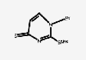 CSc1nc(=S)ccn1C(C)C